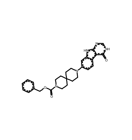 O=C(OCc1ccccc1)N1CCC2(CC1)CCN(c1ccc3c(c1)[nH]c1nc[nH]c(=O)c13)CC2